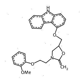 C=C1OC(COc2cccc3[nH]c4ccccc4c23)CN1CCOc1ccccc1OC